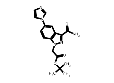 CC(C)(C)OC(=O)Cn1nc(C(N)=O)c2cc(-n3ccnc3)ccc21